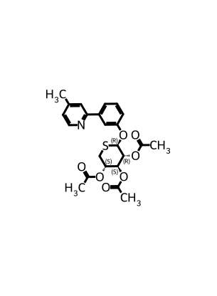 CC(=O)O[C@@H]1[C@@H](OC(C)=O)[C@H](OC(C)=O)CS[C@H]1Oc1cccc(-c2cc(C)ccn2)c1